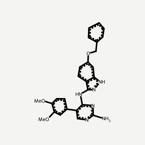 COc1ccc(-c2cnc(N)nc2Nc2n[nH]c3cc(OCc4ccccc4)ccc23)cc1OC